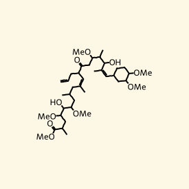 C=CCC(C=C(C)CC(C)CC(OC)C(O)C(CC(C)C(=O)OC)OC)C(=O)CC(OC)C(C)C(O)C(C)=CC1CCC(OC)C(OC)C1